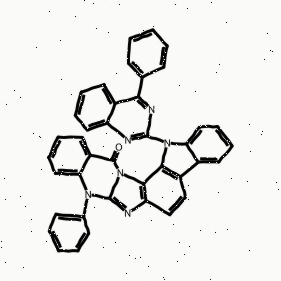 O=c1c2ccccc2n(-c2ccccc2)c2nc3ccc4c5ccccc5n(-c5nc(-c6ccccc6)c6ccccc6n5)c4c3n12